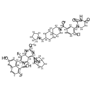 C#Cc1c(F)ccc2cc(O)cc(-c3ncc4c(N5CC6CCC(C5)N6)nc(OC[C@@H]5CCCN5CC5CCC6(CC5)CCN(C(=O)c5ccc(Cl)c(N7CCC(=O)NC7=O)c5)CC6)nc4c3F)c12